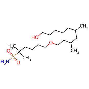 CC(CCCCCO)CC(C)CCOCCCCC(C)(C)S(N)(=O)=O